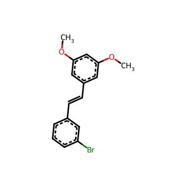 COc1cc(C=Cc2cccc(Br)c2)cc(OC)c1